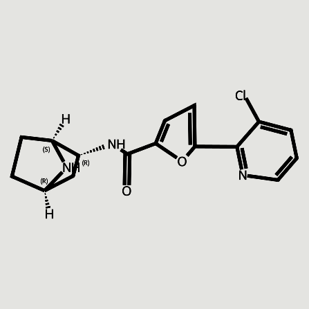 O=C(N[C@@H]1C[C@H]2CC[C@@H]1N2)c1ccc(-c2ncccc2Cl)o1